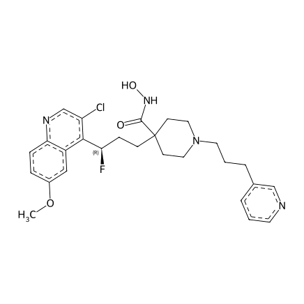 COc1ccc2ncc(Cl)c([C@H](F)CCC3(C(=O)NO)CCN(CCCc4cccnc4)CC3)c2c1